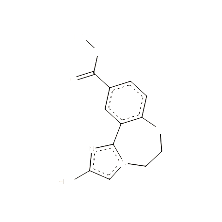 COC(=O)c1ccc2c(c1)-c1nc(C)cn1CCO2